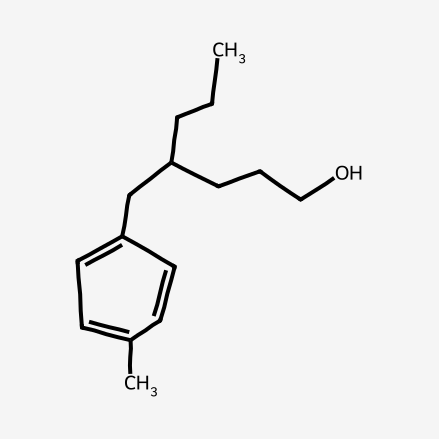 CCCC(CCCO)Cc1ccc(C)cc1